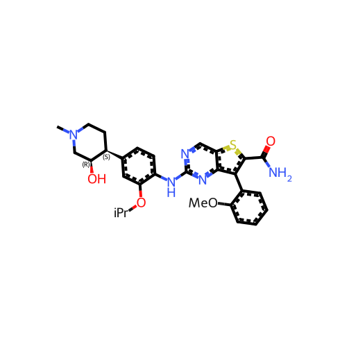 COc1ccccc1-c1c(C(N)=O)sc2cnc(Nc3ccc([C@@H]4CCN(C)C[C@@H]4O)cc3OC(C)C)nc12